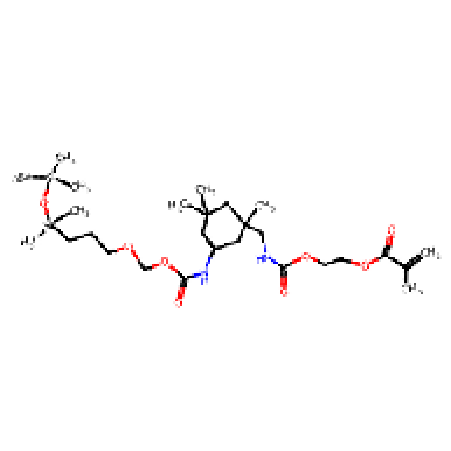 C=C(C)C(=O)OCCOC(=O)NCC1(C)CC(NC(=O)OCOCCC[Si](C)(C)O[Si](C)(C)CCCC)CC(C)(C)C1